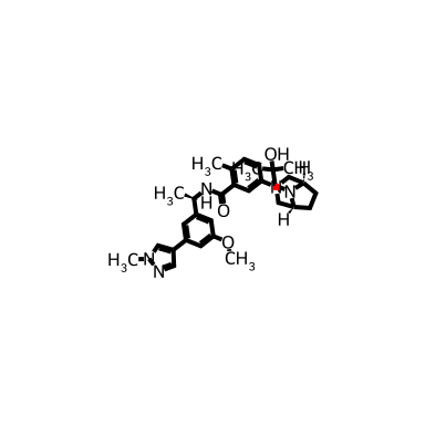 COc1cc(-c2cnn(C)c2)cc([C@@H](C)NC(=O)c2cc(N3C[C@H]4CC[C@@H](C3)N4CC(C)(C)O)ccc2C)c1